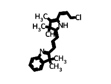 CC1=C(/C=C\CCl)N/C(=C/C=C/C2=Nc3ccccc3C2(C)C)C1(C)C